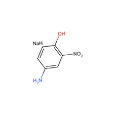 Nc1ccc(O)c([N+](=O)[O-])c1.[NaH]